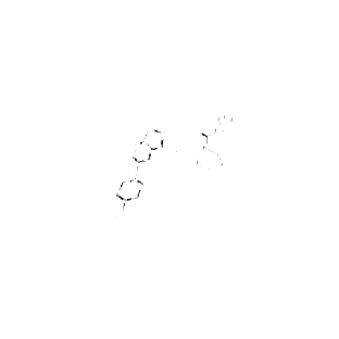 CC(C)(C)OC(=O)N1CCOC[C@@H]1COc1noc2ccc(-c3ccc(OC(F)(F)F)cc3)cc12